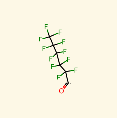 O=[C]C(F)(F)C(F)(F)C(F)(F)C(F)(F)C(F)(F)F